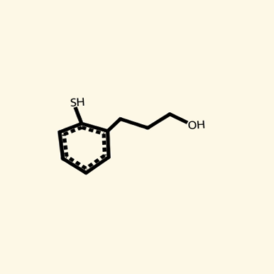 OCCCc1ccccc1S